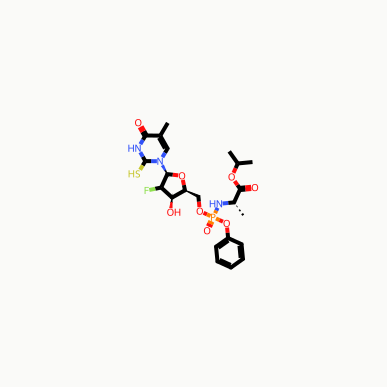 CC1=CN([C@H]2O[C@@H](COP(=O)(N[C@@H](C)C(=O)OC(C)C)Oc3ccccc3)[C@@H](O)C2F)C(S)NC1=O